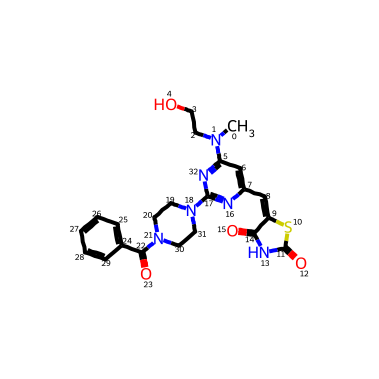 CN(CCO)c1cc(C=C2SC(=O)NC2=O)nc(N2CCN(C(=O)c3ccccc3)CC2)n1